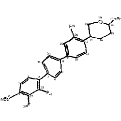 CCCCc1ccc(-c2ccc(-c3ccc(C4CCC(CCC)OC4)c(F)c3)cc2)c(F)c1F